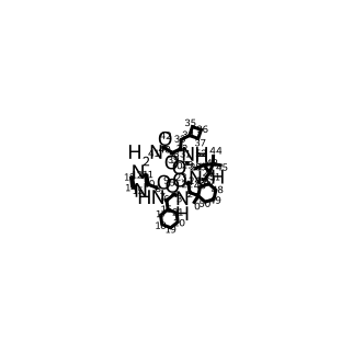 CC1([C@H](NC(=O)[C@@H](NC(=O)c2cnccn2)C2CCCCC2)C(=O)N2C[C@H]3[C@@H]([C@H]2C(=O)NC(CC2CCC2)C(=O)C(N)=O)C3(C)C)CCCCC1